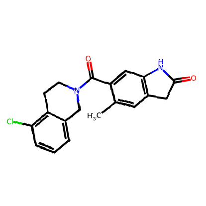 Cc1cc2c(cc1C(=O)N1CCc3c(Cl)cccc3C1)NC(=O)C2